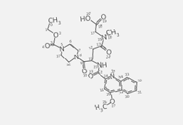 CCOC(=O)N1CCN(C(=O)C(CC(=O)N(C)CC(=O)O)NC(=O)c2cc(OC)c3ccccc3n2)CC1